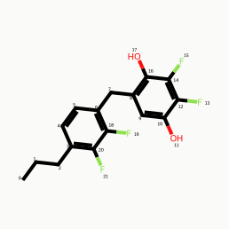 CCCc1ccc(Cc2cc(O)c(F)c(F)c2O)c(F)c1F